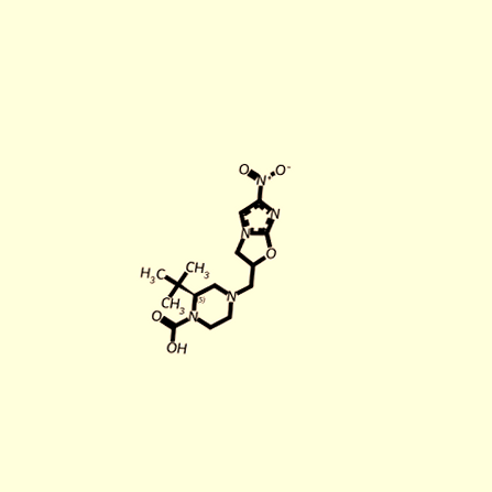 CC(C)(C)[C@H]1CN(CC2Cn3cc([N+](=O)[O-])nc3O2)CCN1C(=O)O